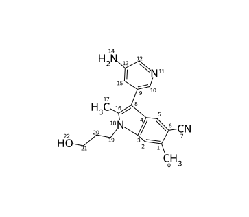 Cc1cc2c(cc1C#N)c(-c1cncc(N)c1)c(C)n2CCCO